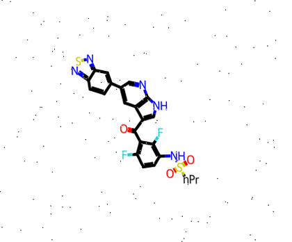 CCCS(=O)(=O)Nc1ccc(F)c(C(=O)c2c[nH]c3ncc(-c4ccc5nsnc5c4)cc23)c1F